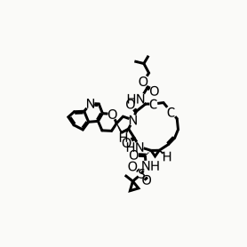 CC(C)COC(=O)N[C@H]1CCCCC/C=C\[C@@H]2C[C@@]2(C(=O)NS(=O)(=O)C2(C)CC2)NC(=O)[C@@H]2C[C@]3(CCc4c(cnc5ccccc45)O3)CN2C1=O